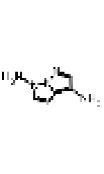 Nc1cnn2c1ccn2N